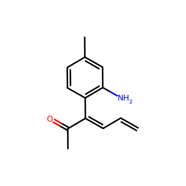 C=C/C=C(/C(C)=O)c1ccc(C)cc1N